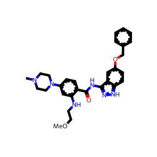 COCCNc1cc(N2CCN(C)CC2)ccc1C(=O)Nc1n[nH]c2ccc(OCc3ccccc3)cc12